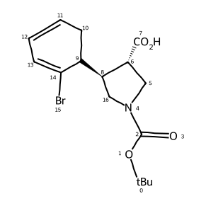 CC(C)(C)OC(=O)N1C[C@@H](C(=O)O)[C@H](C2CC=CC=C2Br)C1